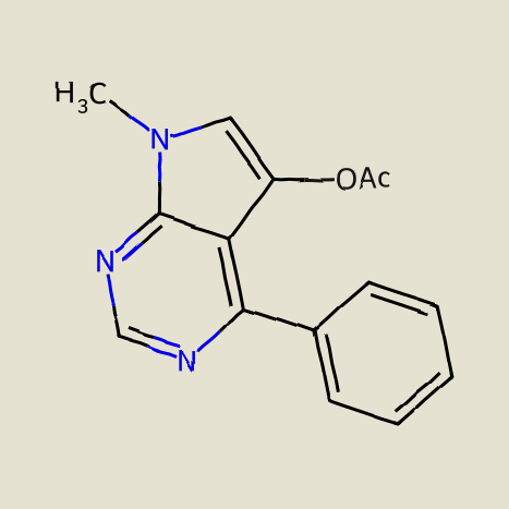 CC(=O)Oc1cn(C)c2ncnc(-c3ccccc3)c12